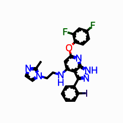 Cc1nccn1CCNc1cc(Oc2ccc(F)cc2F)nc2[nH]nc(-c3ccccc3I)c12